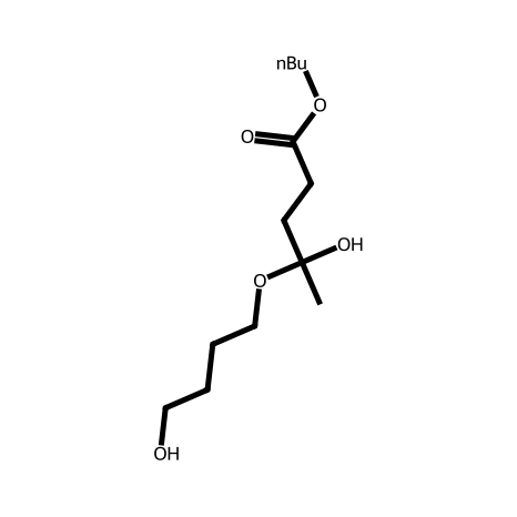 CCCCOC(=O)CCC(C)(O)OCCCCO